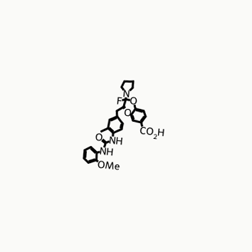 COc1ccccc1NC(=O)Nc1ccc(CC(=O)C(F)(Oc2ccc(C(=O)O)cc2)N2CCCC2)cc1C